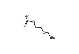 CC(=O)C(=O)OCCOCC(C)(C)C